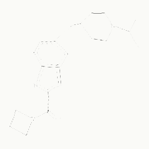 CC(C)N1CCC(Oc2ccc3[nH]c(C(=O)N4CCC4)cc3c2)CC1